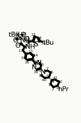 CCC[C@H]1CC[C@H](C2CCN(c3cnc(-c4ccc(CC(NC(=O)c5ccc(C(C)(C)C)s5)C(=O)NS(=O)(=O)C(C)(C)C)cc4)nc3)CC2)CC1